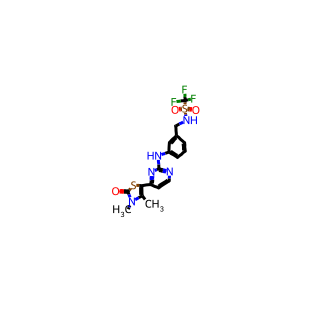 Cc1c(-c2ccnc(Nc3cccc(CNS(=O)(=O)C(F)(F)F)c3)n2)sc(=O)n1C